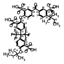 CCC(C)(C)Oc1ccc(C(c2ccc(Oc3ccc(C(=O)c4ccc(C(C)(C)CC)c(S(=O)(=O)O)c4)cc3S(=O)(=O)O)c(S(=O)(=O)O)c2)(C(F)(F)F)C(F)(F)F)cc1S(=O)(=O)O